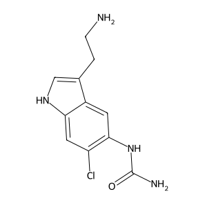 NCCc1c[nH]c2cc(Cl)c(NC(N)=O)cc12